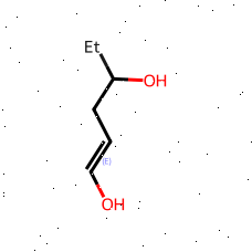 CCC(O)C/C=C/O